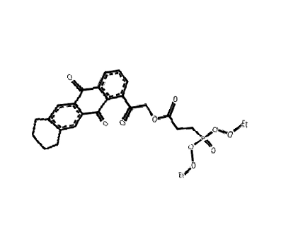 CCOOP(=O)(CCC(=O)OCC(=O)c1cccc2c1C(=O)c1cc3c(cc1C2=O)CCCC3)OOCC